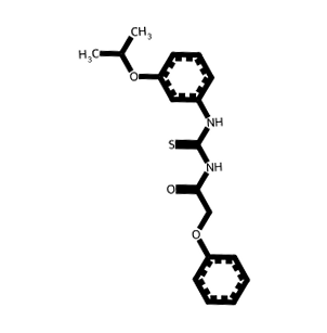 CC(C)Oc1cccc(NC(=S)NC(=O)COc2ccccc2)c1